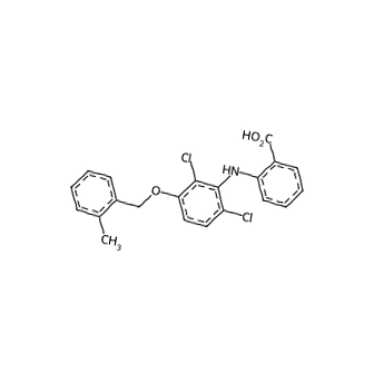 Cc1ccccc1COc1ccc(Cl)c(Nc2ccccc2C(=O)O)c1Cl